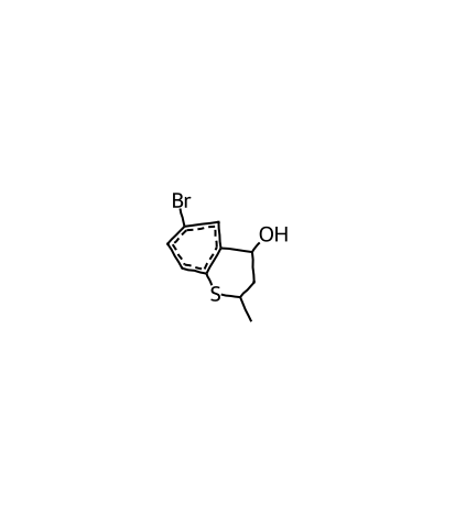 CC1CC(O)c2cc(Br)ccc2S1